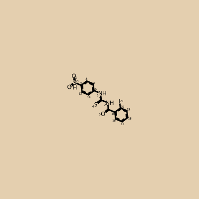 O=C(NC(=S)Nc1ccc([SH](=O)=O)cc1)c1ccccc1I